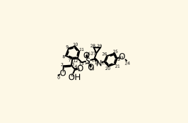 COC=C(C(=O)O)c1ccccc1CS(=O)(=O)C(=Nc1ccc(OC)cc1)C1CC1